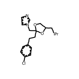 CC(C)CC1COC(CCc2ccc(Cl)cc2)(Cn2ccnc2)O1